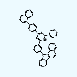 c1ccc(C2N=C(c3ccc(-c4cccc5ccccc45)cc3)N=C(c3cccc(-n4c5ccccc5c5ccc6ccccc6c54)c3)N2)cc1